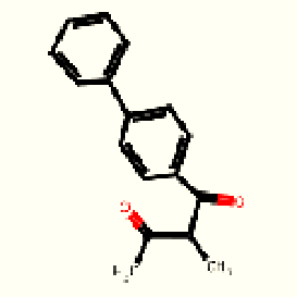 CC(=O)C(C)C(=O)c1ccc(-c2ccccc2)cc1